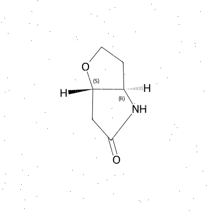 O=C1C[C@@H]2OCC[C@H]2N1